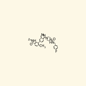 Cc1ccc(C(=O)NC2CC2)cc1-c1ccc2c(N3CCN(C(=O)NCc4ccc(F)cc4)CC3)nncc2c1